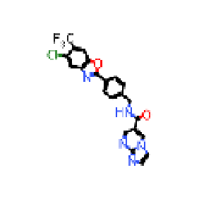 O=C(NCc1ccc(-c2nc3cc(Cl)c(C(F)(F)F)cc3o2)cc1)c1cnc2nccn2c1